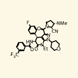 CCN1C(=O)[C@@H](NC(=O)c2cccc(C(F)(F)F)c2)[C@@H](c2ccc(F)cc2)c2c(C(=O)N3CC[C@H](NC)[C@H]3C#N)nn(C3CCOCC3)c21